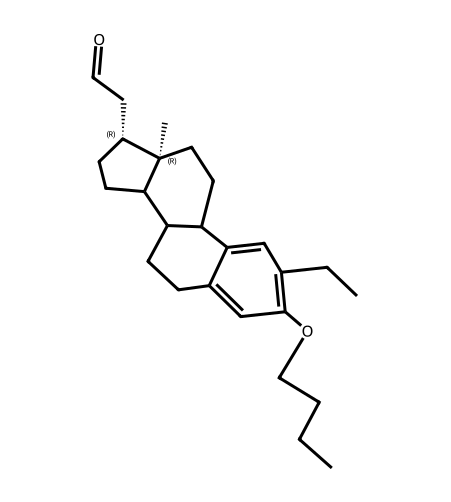 CCCCOc1cc2c(cc1CC)C1CC[C@@]3(C)C(CC[C@@H]3CC=O)C1CC2